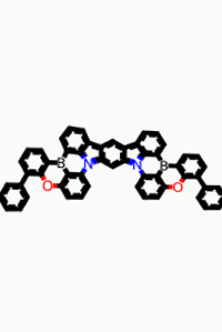 c1ccc(-c2cccc3c2Oc2cccc4c2B3c2cccc3c5cc6c7cccc8c7n(c6cc5n-4c23)-c2cccc3c2B8c2cccc(-c4ccccc4)c2O3)cc1